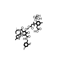 CC1=NO[C@@]2(CC[C@H](C)N3C[C@H]2n2cc(C(=O)NCc4ccc(F)cc4F)c(=O)c(OCOC(=O)CC(C)(C)c4c(CC(=O)O)cc(C)cc4OP(=O)(O)O)c2C3=O)C1